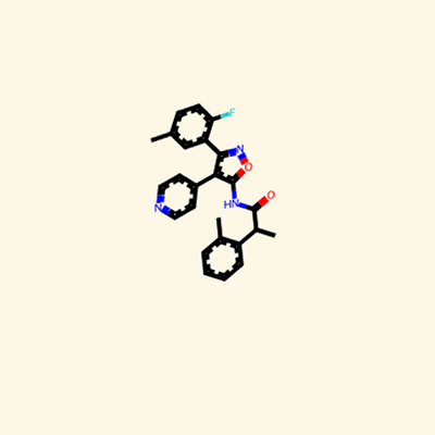 Cc1ccc(F)c(-c2noc(NC(=O)C(C)c3ccccc3C)c2-c2ccncc2)c1